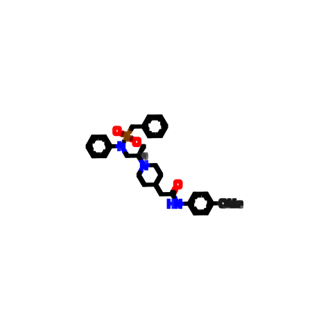 COc1ccc(NC(=O)CC2CCN([C@H](C)CN(c3ccccc3)S(=O)(=O)Cc3ccccc3)CC2)cc1